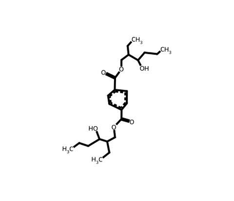 CCCC(O)C(CC)COC(=O)c1ccc(C(=O)OCC(CC)C(O)CCC)cc1